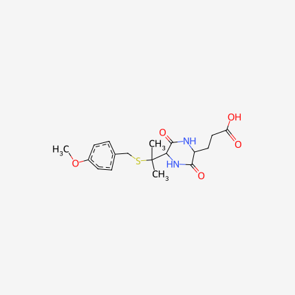 COc1ccc(CSC(C)(C)C2NC(=O)C(CCC(=O)O)NC2=O)cc1